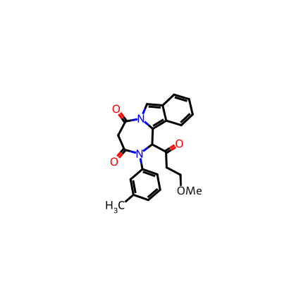 COCCC(=O)C1c2c3ccccc3cn2C(=O)CC(=O)N1c1cccc(C)c1